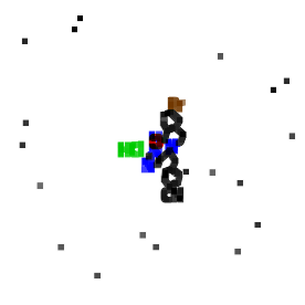 Cl.N#Cc1ccc(CC(c2cnc[nH]2)N2CCc3cc(Br)ccc3C2=O)cc1